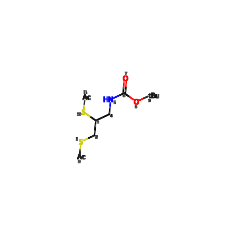 CC(=O)SCC(CNC(=O)OC(C)(C)C)SC(C)=O